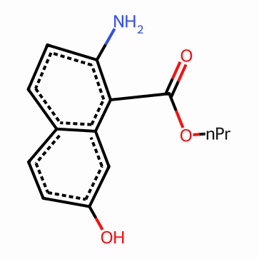 CCCOC(=O)c1c(N)ccc2ccc(O)cc12